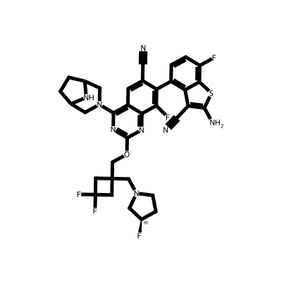 N#Cc1cc2c(N3CC4CCC(C3)N4)nc(OCC3(CN4CC[C@@H](F)C4)CC(F)(F)C3)nc2c(F)c1-c1ccc(F)c2sc(N)c(C#N)c12